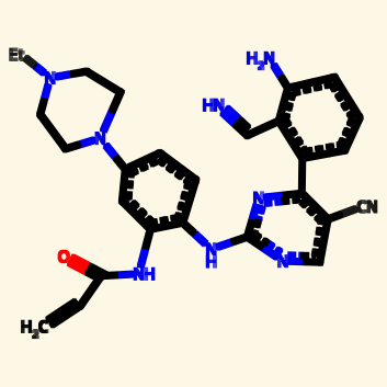 C=CC(=O)Nc1cc(N2CCN(CC)CC2)ccc1Nc1ncc(C#N)c(-c2cccc(N)c2C=N)n1